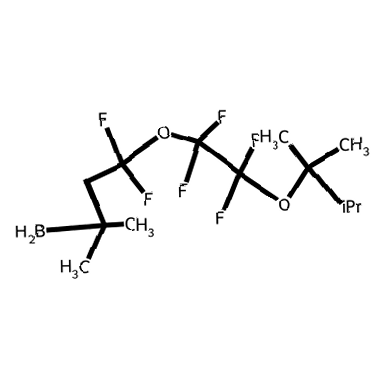 BC(C)(C)CC(F)(F)OC(F)(F)C(F)(F)OC(C)(C)C(C)C